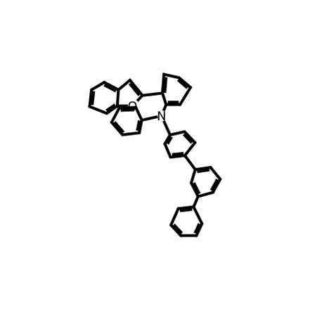 c1ccc(-c2cccc(-c3ccc(N(c4ccccc4)c4ccccc4-c4cc5ccccc5o4)cc3)c2)cc1